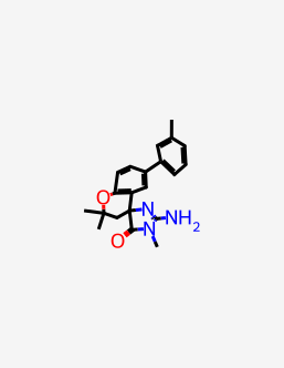 Cc1cccc(-c2ccc3c(c2)C2(CC(C)(C)O3)N=C(N)N(C)C2=O)c1